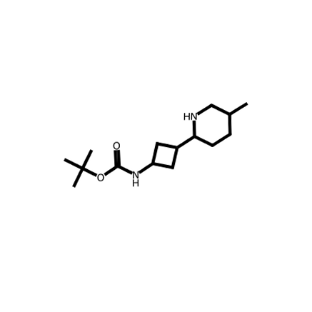 CC1CCC(C2CC(NC(=O)OC(C)(C)C)C2)NC1